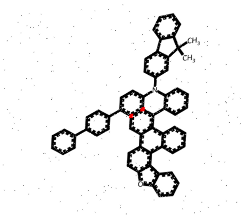 CC1(C)c2ccccc2-c2ccc(N(c3ccc(-c4ccc(-c5ccccc5)cc4)cc3)c3ccccc3-c3cccc4c5ccc6oc7ccccc7c6c5c5ccccc5c34)cc21